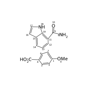 COc1ccc(C(=O)O)cc1.NC(=O)c1cccc2cc[nH]c12